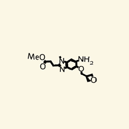 COC(=O)CCc1nc2cc(OCC3COC3)c(N)cc2n1C